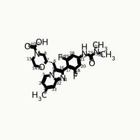 Cc1ccn2c(C[C@H]3CN(C(=O)O)CCO3)c(-c3c(F)cc(NC(=O)N(C)C)cc3F)nc2c1